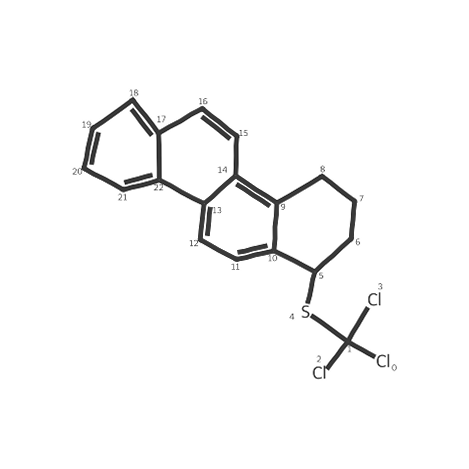 ClC(Cl)(Cl)SC1CCCc2c1ccc1c2ccc2ccccc21